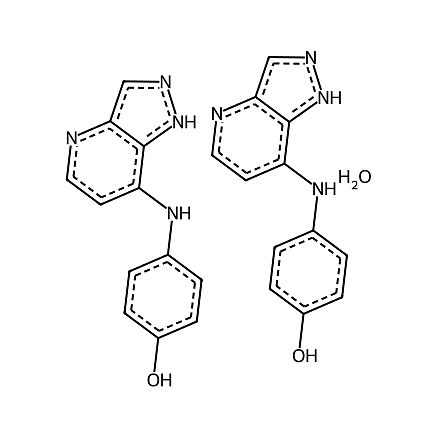 O.Oc1ccc(Nc2ccnc3cn[nH]c23)cc1.Oc1ccc(Nc2ccnc3cn[nH]c23)cc1